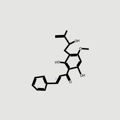 C=C(C)C(O)Cc1c(OC)cc(O)c(C(=O)/C=C/c2ccccc2)c1O